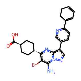 Nc1c(Br)c([C@H]2CC[C@H](C(=O)O)CC2)nc2c(-c3ccc(C4=CC=CCC4)nc3)cnn12